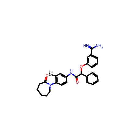 Cc1cc(NC(=O)C(Oc2cccc(C(=N)N)c2)c2ccccc2)ccc1N1CCCCCC1=O